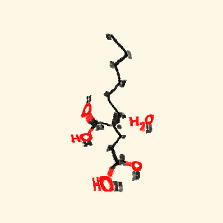 CCCCCC=C(CCC(=O)O)C(=O)O.O